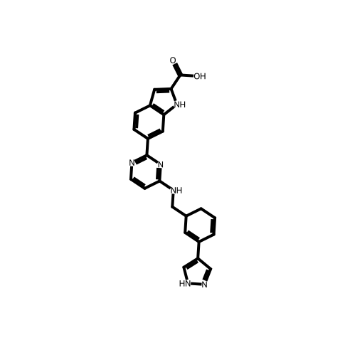 O=C(O)c1cc2ccc(-c3nccc(NCC4C=C(c5cn[nH]c5)C=CC4)n3)cc2[nH]1